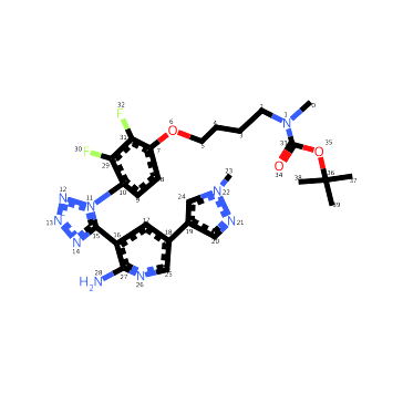 CN(CCCCOc1ccc(-n2nnnc2-c2cc(-c3cnn(C)c3)cnc2N)c(F)c1F)C(=O)OC(C)(C)C